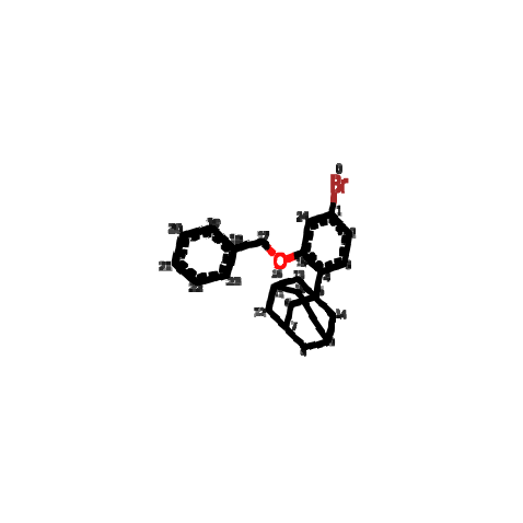 Brc1ccc(C23CC4CC(CC(C4)C2)C3)c(OCc2ccccc2)c1